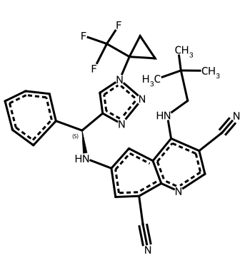 CC(C)(C)CNc1c(C#N)cnc2c(C#N)cc(N[C@@H](c3ccccc3)c3cn(C4(C(F)(F)F)CC4)nn3)cc12